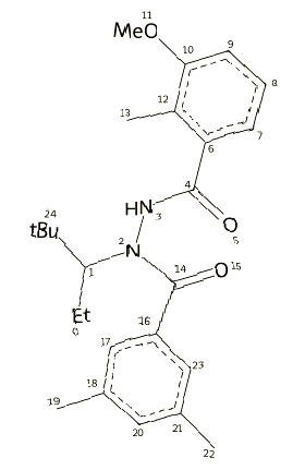 CCC(N(NC(=O)c1cccc(OC)c1C)C(=O)c1cc(C)cc(C)c1)C(C)(C)C